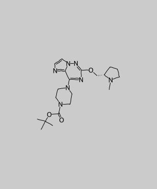 CN1CCC[C@H]1COc1nc(N2CCN(C(=O)OC(C)(C)C)CC2)c2nccn2n1